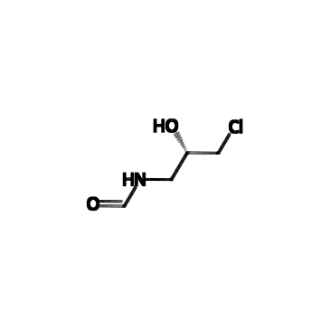 O=CNC[C@H](O)CCl